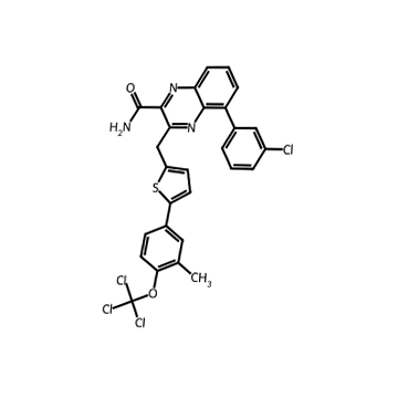 Cc1cc(-c2ccc(Cc3nc4c(-c5cccc(Cl)c5)cccc4nc3C(N)=O)s2)ccc1OC(Cl)(Cl)Cl